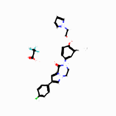 COc1cc(N2CCn3cc(-c4ccc(Cl)cc4)cc3C2=O)ccc1OCCn1cccc1.O=C(O)C(F)(F)F